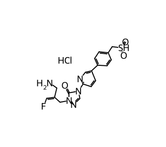 Cl.NC/C(=C/F)Cn1ncn(-c2ccc(-c3ccc(C[SH](=O)=O)cc3)cn2)c1=O